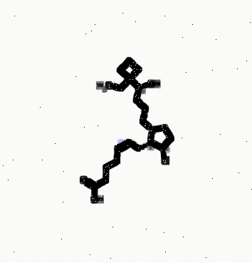 CCC1([C@@H](O)CCCN2CC[C@@H](Cl)[C@@H]2C/C=C\CCCC(=O)O)CCC1